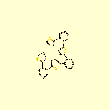 c1csc(-c2ccccc2-c2ccc(-c3ccccc3-c3ccc(-c4ccccc4-c4cccs4)s3)s2)c1